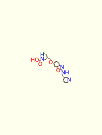 O=C(O)NC/C(=C\F)COc1ccc2nc(NCc3cccnc3)oc2c1